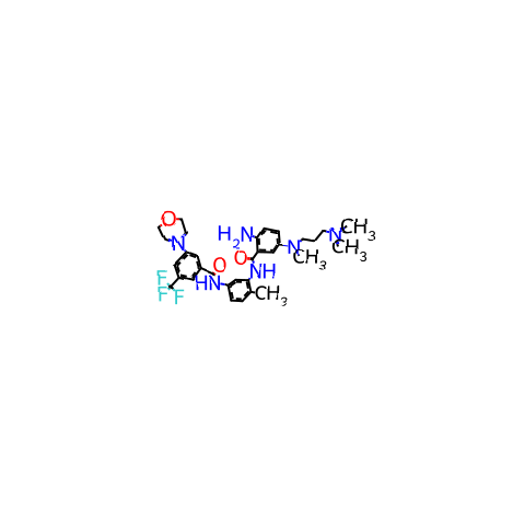 Cc1ccc(NC(=O)c2cc(N3CCOCC3)cc(C(F)(F)F)c2)cc1NC(=O)c1cc(N(C)CCCN(C)C)ccc1N